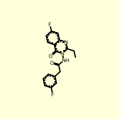 CCc1nc2cc(F)ccc2c(=O)n1NC(=O)Cc1cccc(F)c1